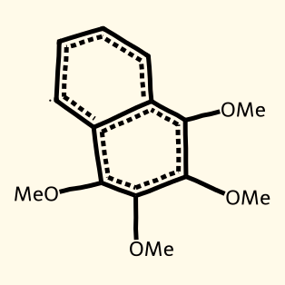 COc1c(OC)c(OC)c2ccc[c]c2c1OC